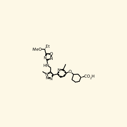 CC[C@@H](OC)c1nc(NCc2c(-c3ccc(OC4CCC[C@H](C(=O)O)C4)c(C)n3)nnn2C)no1